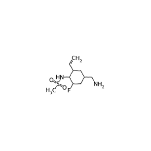 C=CC1CC(CN)CC(F)C1NS(C)(=O)=O